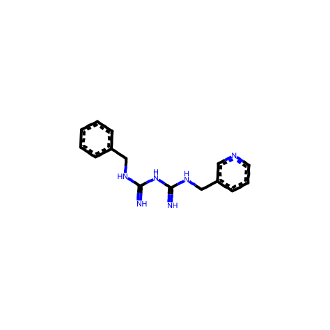 N=C(NCc1ccccc1)NC(=N)NCc1cccnc1